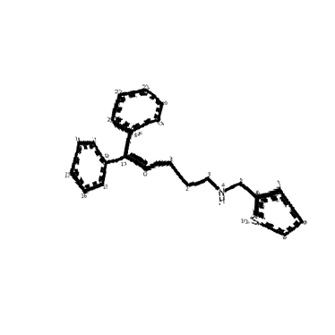 C(CCCNCc1cccs1)=C(c1ccccc1)c1ccccc1